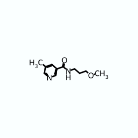 COCCCNC(=O)c1cncc(C)c1